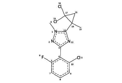 Cn1nc(-c2c(F)cccc2Cl)nc1C1(C)CC1(Cl)Cl